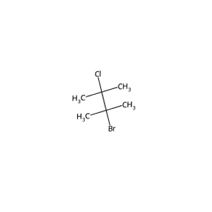 CC(C)(Cl)C(C)(C)Br